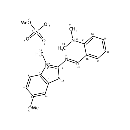 COS(=O)(=O)[O-].COc1ccc2c(c1)sc(N=Nc1ccccc1N(C)C)[n+]2C